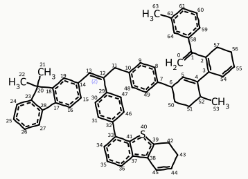 C=C(C1=C(C2=CC(c3ccc(C/C(=C/c4ccc5c(c4)C(C)(C)c4ccccc4-5)c4ccc(-c5cccc6c7c(sc56)CCC=C7)cc4)cc3)CCC2C)C=CCC1)c1cccc(C)c1